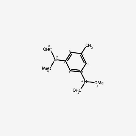 [CH2]c1cc(N(C=O)OC)cc(N(C=O)OC)c1